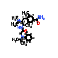 Cc1cc(C(N)=O)cc(C)c1C[C@@H](CNC(=O)CN(c1ccccc1)C(C)C)N(C)C